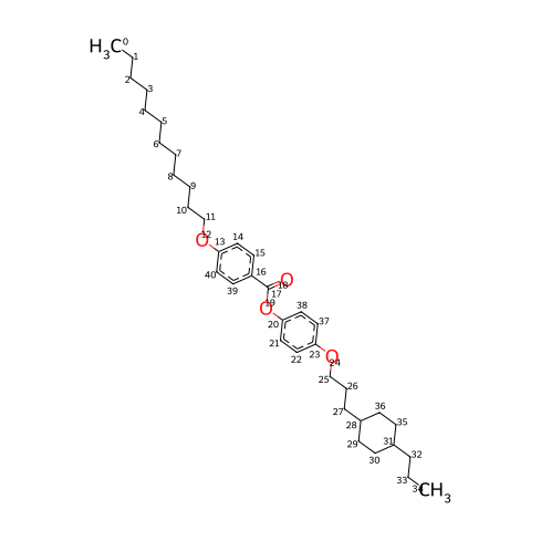 CCCCCCCCCCCCOc1ccc(C(=O)Oc2ccc(OCCCC3CCC(CCC)CC3)cc2)cc1